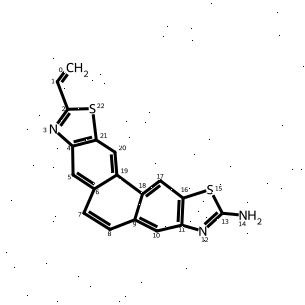 C=Cc1nc2cc3ccc4cc5nc(N)sc5cc4c3cc2s1